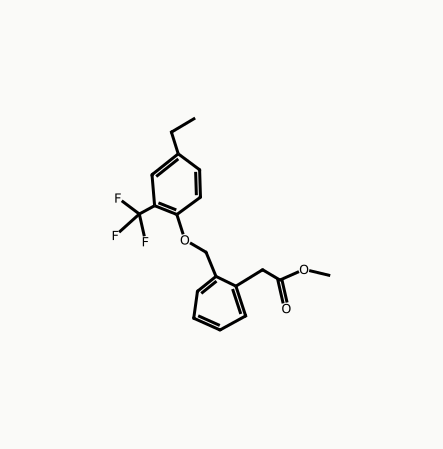 CCc1ccc(OCc2ccccc2CC(=O)OC)c(C(F)(F)F)c1